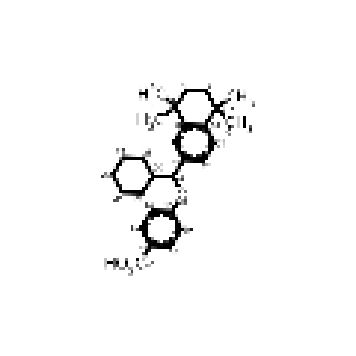 CC1(C)CCC(C)(C)c2cc(C(Oc3ccc(C(=O)O)cc3)C3CCCCC3)ccc21